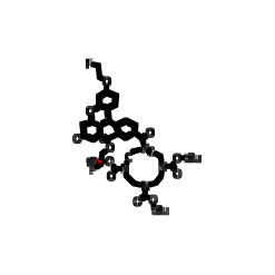 CC(C)(C)OC(=O)N1CCN(C(=O)OC(C)(C)C)CCN(C(=O)c2ccc(-c3c4ccc(=O)cc-4oc4cc(OCCF)ccc34)c(C(=O)OCCF)c2)CCN(C(=O)OC(C)(C)C)CC1